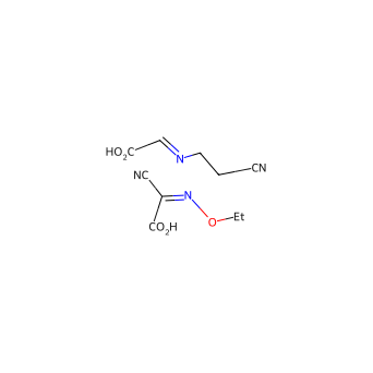 CCON=C(C#N)C(=O)O.N#CCCN=CC(=O)O